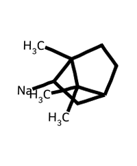 CC1(C)C2CCC1(C)[CH]([Na])C2